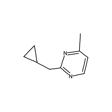 Cc1ccnc(CC2CC2)n1